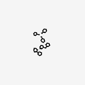 CC1(C)c2ccccc2N(c2ccc(-c3nc(-c4ccccc4)nc(-c4ccccc4)n3)cc2)c2ccc(-n3c4ccccc4c4ccccc43)cc21